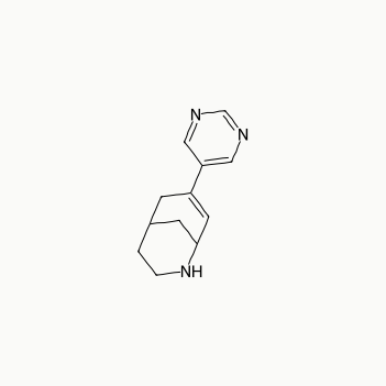 C1=C(c2cncnc2)CC2CCNC1C2